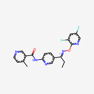 CC/C(=N\Oc1ncc(F)cc1F)c1ccc(NC(=O)c2cnccc2C)nc1